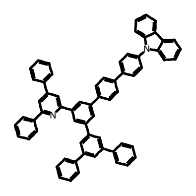 c1ccc(-c2cc(-c3ccccc3)cc(-c3cc(-c4ccc(-c5ccc(-n6c7ccccc7c7ccccc76)cc5)cc4)cc(-c4cc(-c5ccccc5)cc(-c5ccccc5)n4)c3)c2)cc1